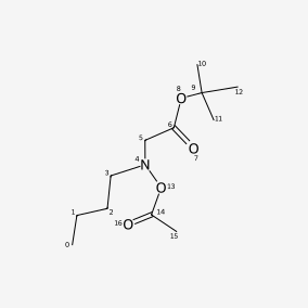 CCCCN(CC(=O)OC(C)(C)C)OC(C)=O